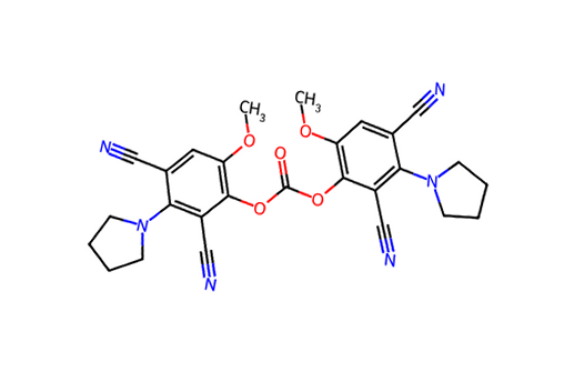 COc1cc(C#N)c(N2CCCC2)c(C#N)c1OC(=O)Oc1c(OC)cc(C#N)c(N2CCCC2)c1C#N